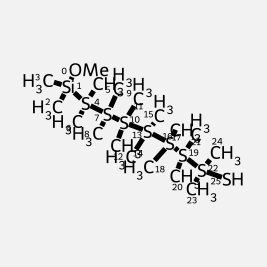 CO[Si](C)(C)S(C)(C)S(C)(C)S(C)(C)S(C)(C)S(C)(C)S(C)(C)S(C)(C)S